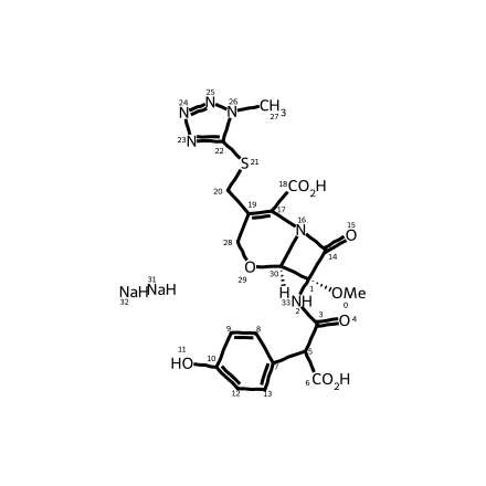 CO[C@@]1(NC(=O)C(C(=O)O)c2ccc(O)cc2)C(=O)N2C(C(=O)O)=C(CSc3nnnn3C)CO[C@@H]21.[NaH].[NaH]